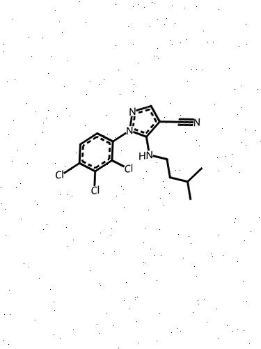 CC(C)CCNc1c(C#N)cnn1-c1ccc(Cl)c(Cl)c1Cl